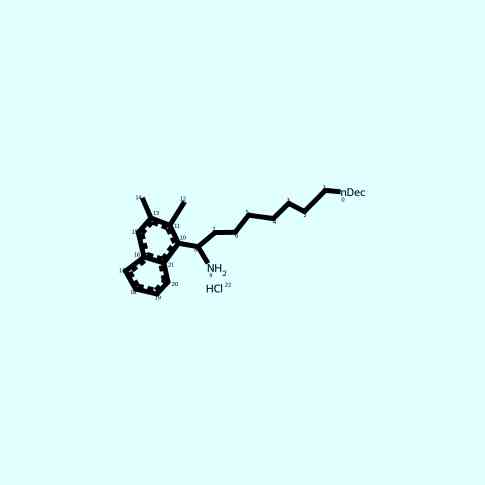 CCCCCCCCCCCCCCCCCC(N)c1c(C)c(C)cc2ccccc12.Cl